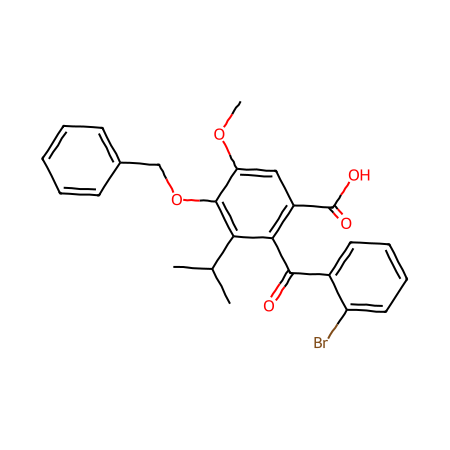 COc1cc(C(=O)O)c(C(=O)c2ccccc2Br)c(C(C)C)c1OCc1ccccc1